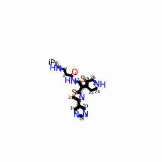 CC(C)NCCC(=O)Nc1sc2c(c1-c1nc(-c3cncnc3)cs1)CCNC2